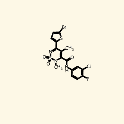 CC1=C(C(=O)Nc2ccc(F)c(Cl)c2)N(C)S(=O)(=O)N=C1c1ccc(Br)s1